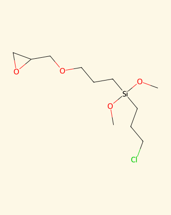 CO[Si](CCCCl)(CCCOCC1CO1)OC